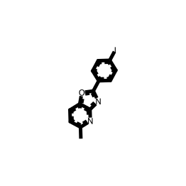 Cc1ccc2oc(-c3ccc(I)cc3)nc2n1